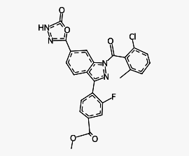 COC(=O)c1ccc(-c2nn(C(=O)c3c(C)cccc3Cl)c3cc(-c4n[nH]c(=O)o4)ccc23)c(F)c1